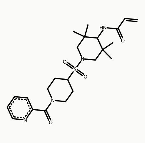 C=CC(=O)NC1C(C)(C)CN(S(=O)(=O)C2CCN(C(=O)c3ccccn3)CC2)CC1(C)C